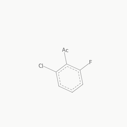 CC(=O)c1c(F)cccc1Cl